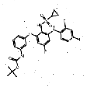 CC(C)(C)OC(=O)Nc1cccc(Oc2cc(F)cc(Nc3ccc(I)cc3F)c2NS(=O)(=O)C2CC2)c1